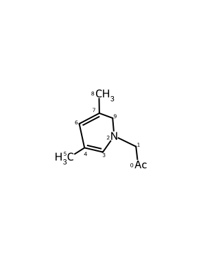 CC(=O)CN1C=C(C)C=C(C)C1